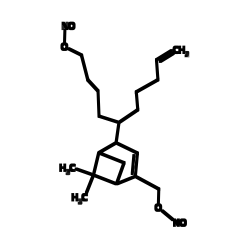 C=CCCCC(CCCCON=O)C1C=C(CON=O)C2CC1C2(C)C